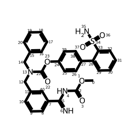 COC(=O)NC(=N)c1cccc(CN(Cc2ccccc2)C(=O)Oc2ccc(-c3ccccc3S(N)(=O)=O)cc2)c1